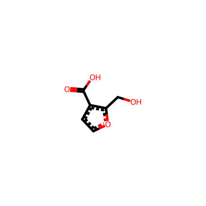 O=C(O)c1ccoc1CO